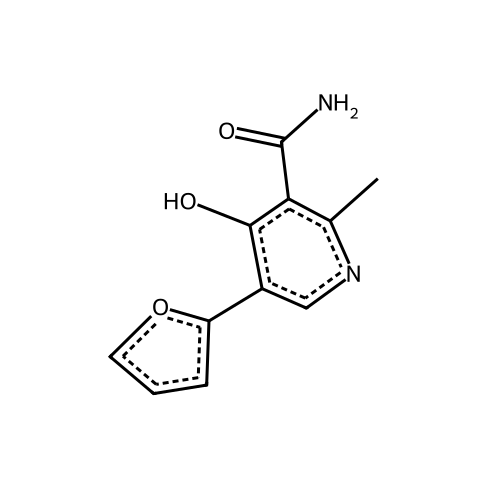 Cc1ncc(-c2ccco2)c(O)c1C(N)=O